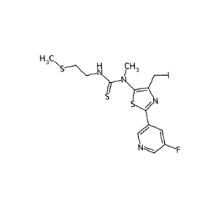 CSCCNC(=S)N(C)c1sc(-c2cncc(F)c2)nc1CI